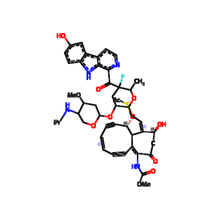 COC(=O)NC1=C2C#C/C=C\C#C[C@H](OC3OC(C)C(F)(C(=O)c4nccc5c4[nH]c4ccc(O)cc45)CC3OC3CC(OC)C(NC(C)C)CO3)C2/C(=C\CSC(C)=O)[C@@H](O)CC1=O